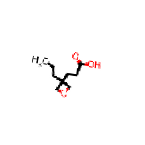 CCCC1(CCC(=O)O)COC1